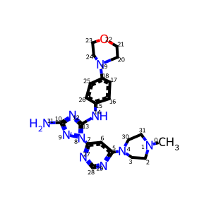 CN1CCN(c2cc(-n3nc(N)nc3Nc3ccc(N4CCOCC4)cc3)ncn2)CC1